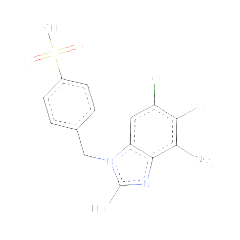 Cc1nc2c([N+](=O)[O-])c(Cl)c(Cl)cc2n1Cc1ccc(S(C)(=O)=O)cc1